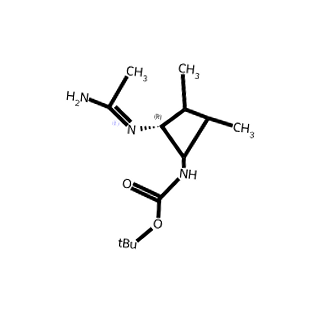 C/C(N)=N\[C@@H]1C(C)C(C)C1NC(=O)OC(C)(C)C